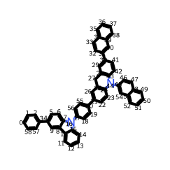 c1ccc(-c2ccc3c(c2)c2ccccc2n3-c2ccc(-c3ccc4c(c3)Cc3cc(-c5ccc6ccccc6c5)ccc3N4c3ccc4ccccc4c3)cc2)cc1